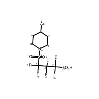 CC(=O)C1CCN(S(=O)(=O)C(F)(F)C(F)(F)C(F)(F)S(=O)(=O)O)CC1